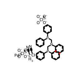 CC#N.CC#N.[O-][Cl+3]([O-])([O-])[O-].[O-][Cl+3]([O-])([O-])[O-].[Pd+2].c1ccc(N(CP(c2ccccc2)c2ccccc2)CP(c2ccccc2)c2ccccc2)cc1